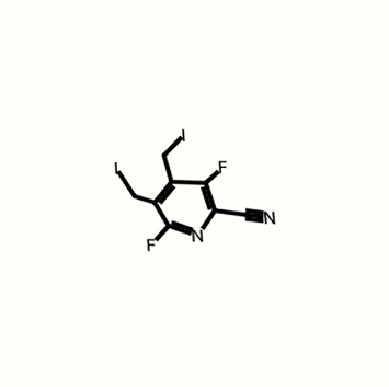 N#Cc1nc(F)c(CI)c(CI)c1F